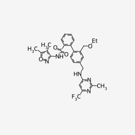 CCOCc1cc(CNc2cc(C(F)(F)F)nc(C)n2)ccc1-c1ccccc1S(=O)(=O)Nc1noc(C)c1C